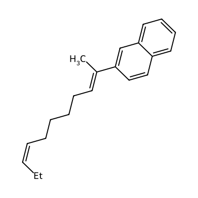 CC/C=C\CCCC/C=C(\C)c1ccc2ccccc2c1